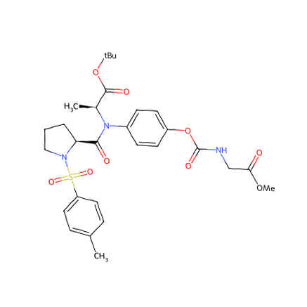 COC(=O)CNC(=O)Oc1ccc(N(C(=O)[C@@H]2CCCN2S(=O)(=O)c2ccc(C)cc2)[C@@H](C)C(=O)OC(C)(C)C)cc1